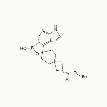 CC(C)(C)OC(=O)N1CC2(CCC3(CC2)OB(O)c2cnc4[nH]ccc4c23)C1